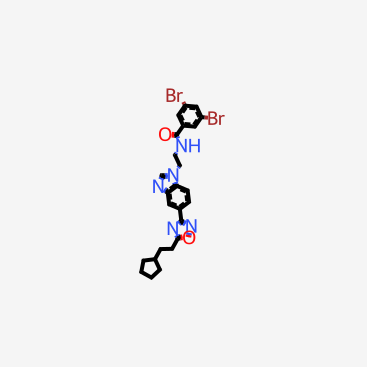 O=C(NCCn1cnc2cc(-c3noc(CCC4CCCC4)n3)ccc21)c1cc(Br)cc(Br)c1